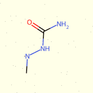 C[N]NC(N)=O